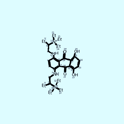 CCC(CNc1ccc(NCC(CC)[N+](CC)(CC)CC)c2c1C(=O)c1c(O)ccc(O)c1C2=O)[N+](CC)(CC)CC